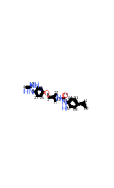 C=C(N)Nc1ccc(OCC2CN(C(=O)Nc3ccc(C4CC4)cc3)C2)cc1